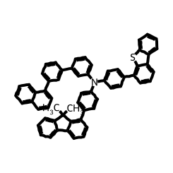 CC1(C)c2ccccc2-c2cccc(-c3ccc(N(c4ccc(-c5cccc6c5sc5ccccc56)cc4)c4cccc(-c5cccc(-c6cccc7ccccc67)c5)c4)cc3)c21